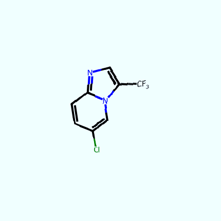 FC(F)(F)c1cnc2ccc(Cl)cn12